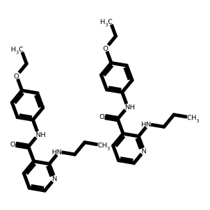 CCCNc1ncccc1C(=O)Nc1ccc(OCC)cc1.CCCNc1ncccc1C(=O)Nc1ccc(OCC)cc1